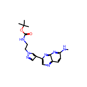 CNc1ccc2ncc(-c3cnn(CCNC(=O)OC(C)(C)C)c3)nc2n1